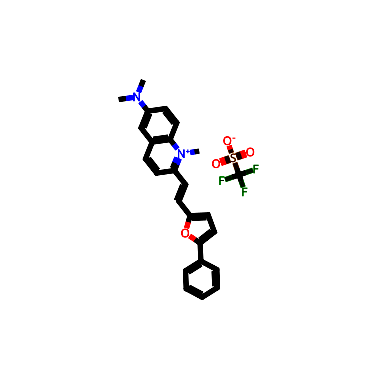 CN(C)c1ccc2c(ccc(C=Cc3ccc(-c4ccccc4)o3)[n+]2C)c1.O=S(=O)([O-])C(F)(F)F